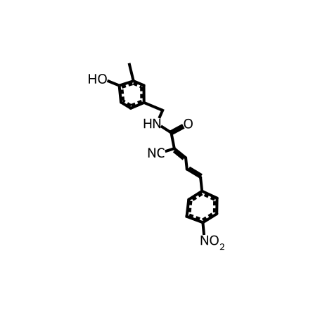 Cc1cc(CNC(=O)/C(C#N)=C/C=C/c2ccc([N+](=O)[O-])cc2)ccc1O